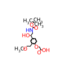 COCCc1cc([C@@H](O)CNC(=O)OC(C)(C)C)ccc1OCC(=O)O